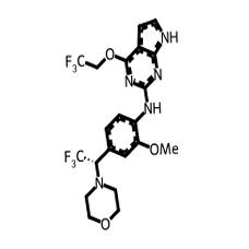 COc1cc([C@H](N2CCOCC2)C(F)(F)F)ccc1Nc1nc(OCC(F)(F)F)c2cc[nH]c2n1